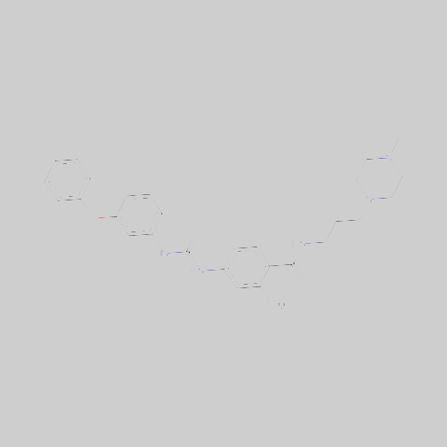 COc1cc(NC(=O)Nc2cccc(Oc3ccccc3)c2)ccc1C(=O)NCCCN1CCN(C)CC1